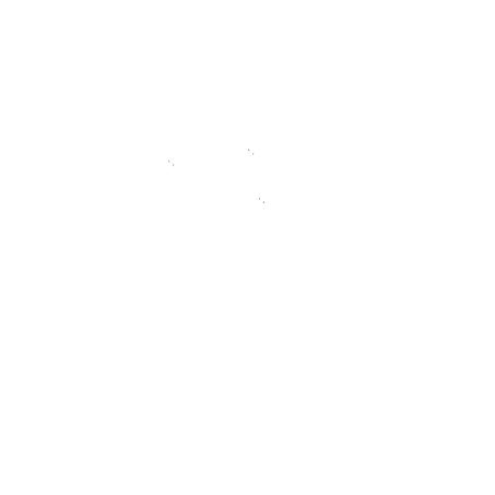 Nc1ccnc(N2CCC3(CC2)OCc2cc(F)ccc23)c1